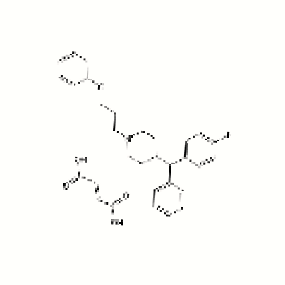 Fc1ccc(C(c2ccccc2)C2CCN(CCCOc3ccccc3)CC2)cc1.O=C(O)/C=C/C(=O)O